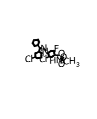 CS(=O)(=O)NC(=O)c1cc(Cl)c(-n2nc(-c3ccccc3)c3cc(Cl)ccc32)cc1F